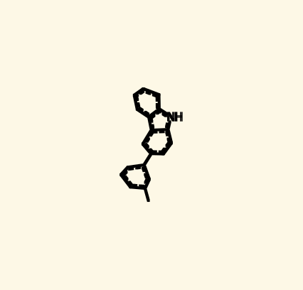 Cc1cccc(-c2ccc3[nH]c4ccccc4c3c2)c1